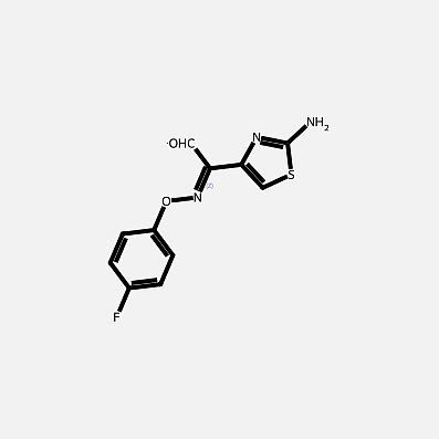 Nc1nc(/C([C]=O)=N/Oc2ccc(F)cc2)cs1